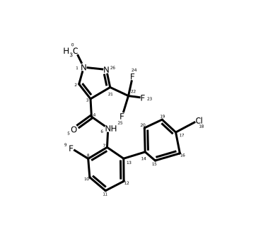 Cn1cc(C(=O)Nc2c(F)cccc2-c2ccc(Cl)cc2)c(C(F)(F)F)n1